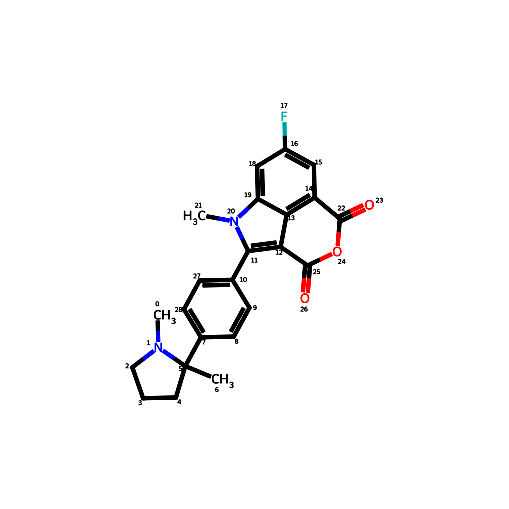 CN1CCCC1(C)c1ccc(-c2c3c4c(cc(F)cc4n2C)C(=O)OC3=O)cc1